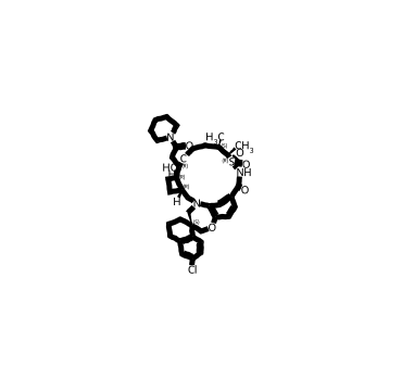 C[C@@H]1[C@@H](C)CCC[C@@](O)(CC(=O)N2CCCCC2)[C@@H]2CC[C@H]2CN2C[C@@]3(CCCc4cc(Cl)ccc43)COc3ccc(cc32)C(=O)NS1(=O)=O